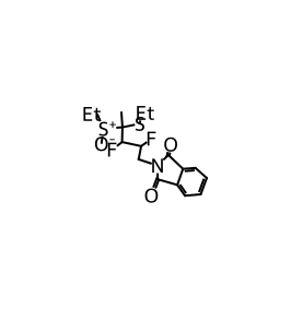 CCSC(C)(C(F)C(F)CN1C(=O)c2ccccc2C1=O)[S+]([O-])CC